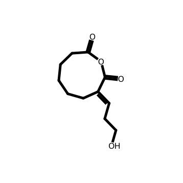 O=C1CCCCCC(=CCCO)C(=O)O1